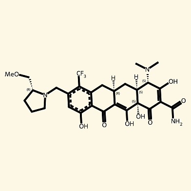 COC[C@H]1CCCN1Cc1cc(O)c2c(c1C(F)(F)F)C[C@H]1C[C@H]3[C@H](N(C)C)C(O)=C(C(N)=O)C(=O)[C@@]3(O)C(O)=C1C2=O